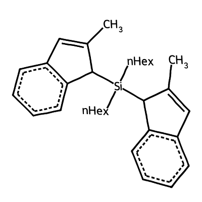 CCCCCC[Si](CCCCCC)(C1C(C)=Cc2ccccc21)C1C(C)=Cc2ccccc21